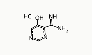 Cl.N=C(N)c1ncncc1O